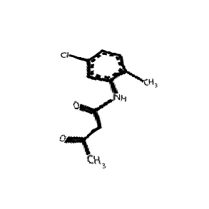 CC(=O)CC(=O)Nc1cc(Cl)ccc1C